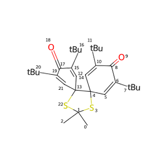 CC1(C)SC2(C=C(C(C)(C)C)C(=O)C(C(C)(C)C)=C2)C2(C=C(C(C)(C)C)C(=O)C(C(C)(C)C)=C2)S1